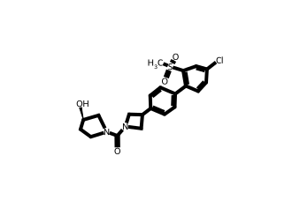 CS(=O)(=O)c1cc(Cl)ccc1-c1ccc(C2CN(C(=O)N3CC[C@@H](O)C3)C2)cc1